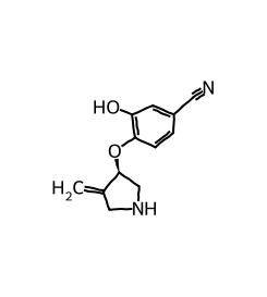 C=C1CNC[C@@H]1Oc1ccc(C#N)cc1O